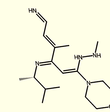 CNN\C(=C/C(=N\[C@@H](C)C(C)C)C(/C)=C/C=N)N1CCOCC1